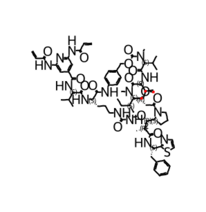 C=CC(=O)Nc1cc(C(=O)N[C@H](C(=O)N[C@@H](CCCNC(N)=O)C(=O)Nc2ccc(COC(=O)N(C)[C@H](C(=O)N[C@H](C(=O)N(C)[C@@H]([C@@H](C)CC)[C@@H](CC(=O)N3CCC[C@H]3[C@H](OC)[C@@H](C)C(=O)N[C@@H](Cc3ccccc3)c3nccs3)OC)C(C)C)C(C)C)cc2)C(C)C)cc(NC(=O)C=C)n1